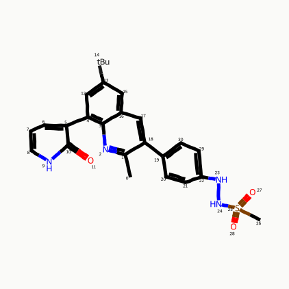 Cc1nc2c(-c3ccc[nH]c3=O)cc(C(C)(C)C)cc2cc1-c1ccc(NNS(C)(=O)=O)cc1